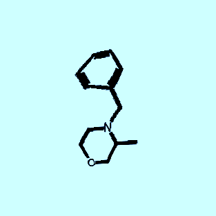 CC1COCCN1Cc1ccccc1